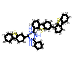 C1=C(C2NC(c3ccccc3)NC(c3cccc4c3sc3cc(-c5cccc6c5sc5ccccc56)ccc34)N2)CCc2c1sc1ccccc21